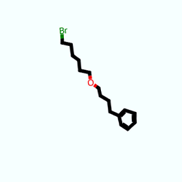 BrCCCCCCOCCCCc1ccccc1